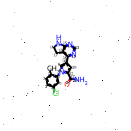 Cc1ccc(Cl)cc1-n1cc(-c2ncnc3c2CCN3)cc1C(N)=O